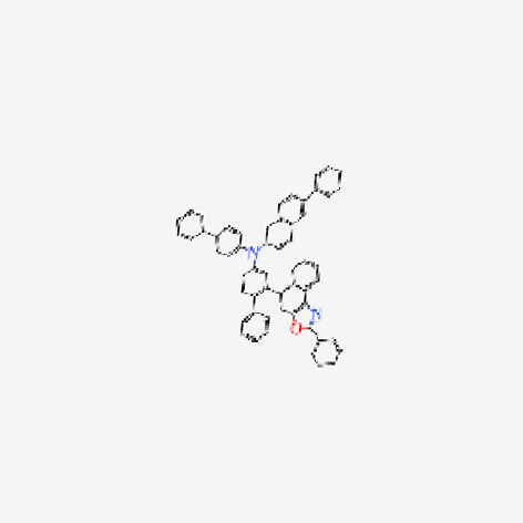 C1=CC(N(c2ccc(-c3ccccc3)cc2)c2ccc(-c3ccccc3)c(-c3cc4oc(-c5ccccc5)nc4c4ccccc34)c2)Cc2ccc(-c3ccccc3)cc21